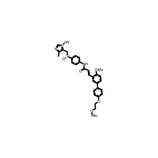 CCCCOCCOc1ccc(-c2ccc(OC)c(/C=C/C(=O)Nc3ccc([S@+]([O-])Cc4c(C)ncn4CCC)cc3)c2)cc1